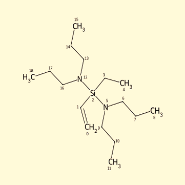 C=C[Si](CC)(N(CCC)CCC)N(CCC)CCC